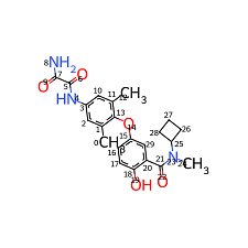 Cc1cc(NC(=O)C(N)=O)cc(C)c1Oc1ccc(O)c(C(=O)N(C)C2CCC2)c1